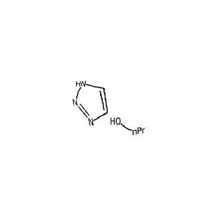 CCCO.c1c[nH]nn1